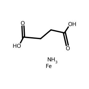 N.O=C(O)CCC(=O)O.[Fe]